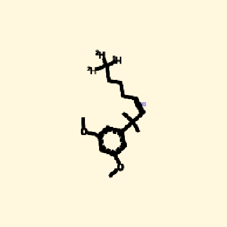 [2H]C([2H])([2H])CCC/C=C\C(C)(C)c1cc(OC)cc(OC)c1